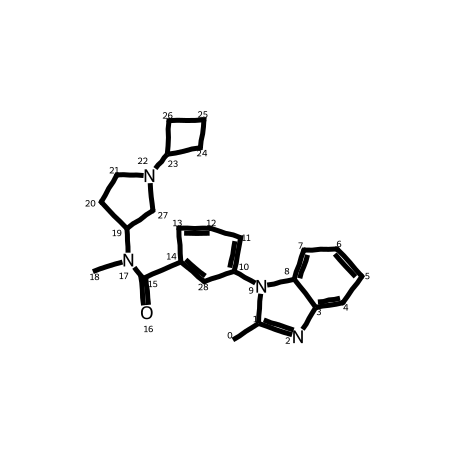 Cc1nc2ccccc2n1-c1cccc(C(=O)N(C)C2CCN(C3CCC3)C2)c1